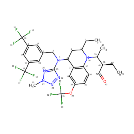 CCC1CC(N(Cc2cc(C(F)(F)F)cc(C(F)(F)F)c2)c2nnn(C)n2)c2cc(OC(F)(F)F)ccc2N1C(C)[C@H](C=O)CC